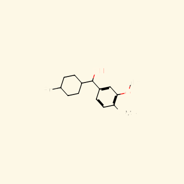 CCC1CCC(C(O)c2ccc(OC)c(OC(C)C)c2)CC1